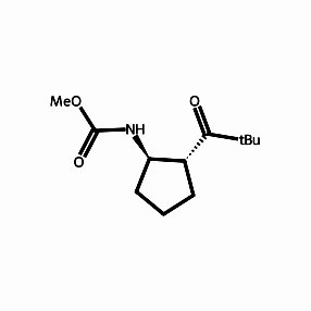 COC(=O)N[C@@H]1CCC[C@H]1C(=O)C(C)(C)C